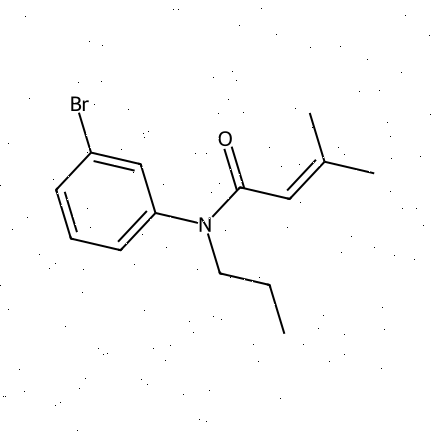 CCCN(C(=O)C=C(C)C)c1cccc(Br)c1